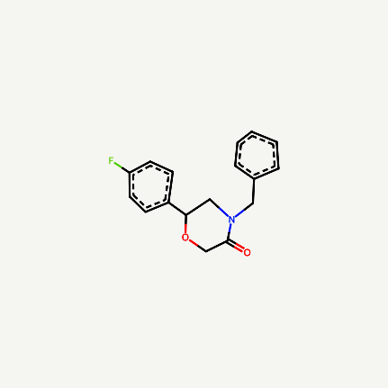 O=C1COC(c2ccc(F)cc2)CN1Cc1ccccc1